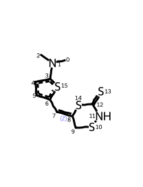 CN(C)c1ccc(/C=C2/CSNC(=S)S2)s1